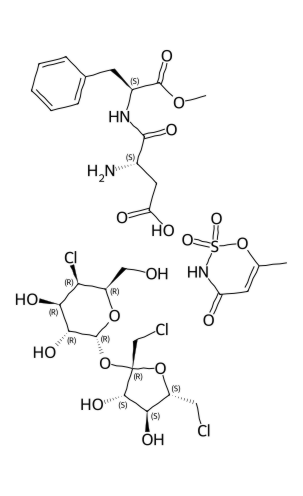 CC1=CC(=O)NS(=O)(=O)O1.COC(=O)[C@H](Cc1ccccc1)NC(=O)[C@@H](N)CC(=O)O.OC[C@H]1O[C@H](O[C@]2(CCl)O[C@H](CCl)[C@@H](O)[C@@H]2O)[C@H](O)[C@@H](O)[C@H]1Cl